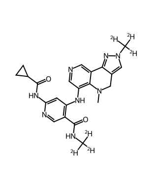 [2H]C([2H])([2H])NC(=O)c1cnc(NC(=O)C2CC2)cc1Nc1cncc2c1N(C)Cc1cn(C([2H])([2H])[2H])nc1-2